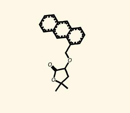 CC1(C)CC(OCc2cccc3cc4ccccc4cc23)C(=O)O1